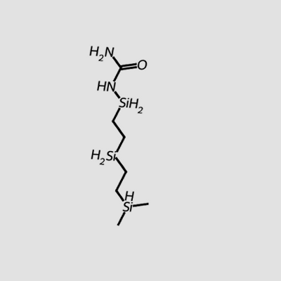 C[SiH](C)CC[SiH2]CC[SiH2]NC(N)=O